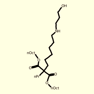 CCCCCCCCOC(=O)C(CCC)(CCCCCCNCCCO)C(=O)OCCCCCCCC